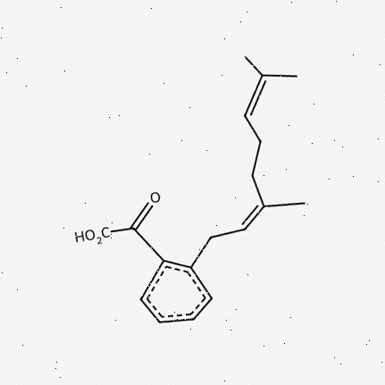 CC(C)=CCCC(C)=CCc1ccccc1C(=O)C(=O)O